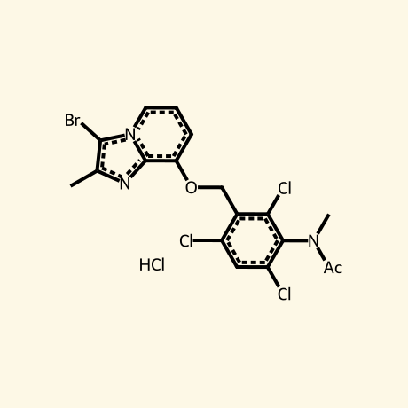 CC(=O)N(C)c1c(Cl)cc(Cl)c(COc2cccn3c(Br)c(C)nc23)c1Cl.Cl